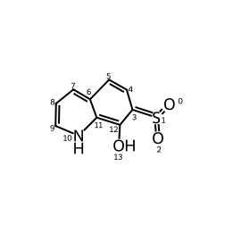 O=S(=O)=c1ccc2ccc[nH]c-2c1O